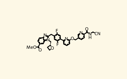 COC(=O)c1ccc2nc(Cc3cc(F)c(-c4cccc(OCc5ccc(C(=O)NCC#N)nc5)n4)cc3F)n(C[C@@H]3CCO3)c2c1